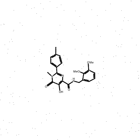 COc1cccc(CNC(=O)c2nc(-c3ccc(C)cc3)n(C)c(=O)c2O)c1OC